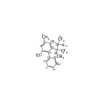 CCc1[c]c(C)cc(C(F)(C(F)(F)F)C(F)(F)C(F)(F)F)c1-c1cccnc1C